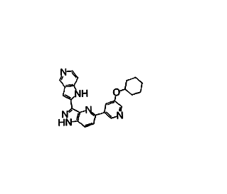 c1cc2[nH]c(-c3n[nH]c4ccc(-c5cncc(OC6CCCCC6)c5)nc34)cc2cn1